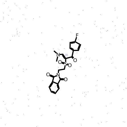 CN(C)/C=C(/C(=O)c1ccc(F)cc1)S(=O)(=O)CCN1C(=O)c2ccccc2C1=O